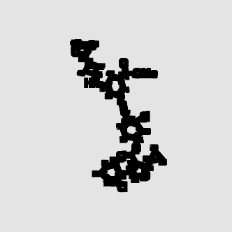 COC(=O)c1cc(C#Cc2ccc(OCc3c(-c4c(Cl)cccc4Cl)noc3C3CC3)cc2Cl)cc(NC2CN(C(=O)OC(C)(C)C)C2)c1